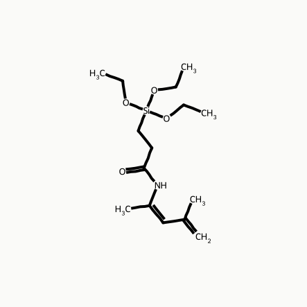 C=C(C)C=C(C)NC(=O)CC[Si](OCC)(OCC)OCC